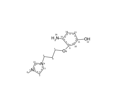 C[n+]1ccn(CCCOc2cc(O)ccc2N)c1